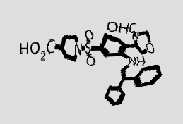 O=CN1CCOCC1c1ccc(S(=O)(=O)N2CCC(C(=O)O)CC2)cc1NCC(c1ccccc1)c1ccccc1